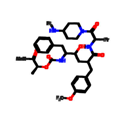 CCNC1CCN(C(=O)C(NC(=O)C(Cc2ccc(OC(F)(F)F)cc2)CC(O)C(Cc2ccccc2)NC(=O)O[C@@H](C)C(=O)NC)C(C)C)CC1